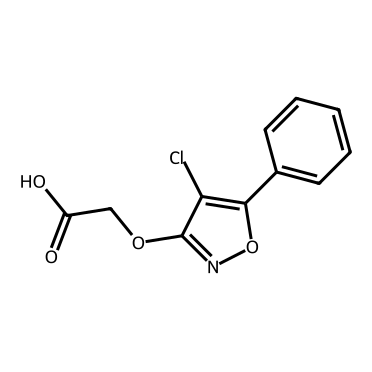 O=C(O)COc1noc(-c2ccccc2)c1Cl